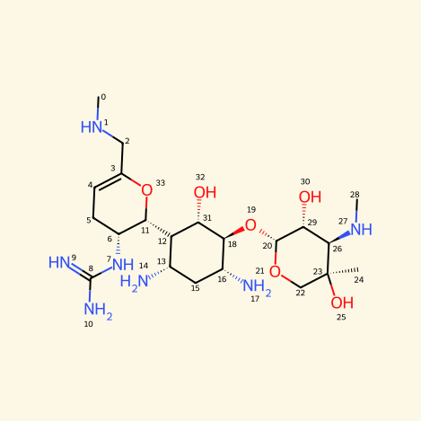 CNCC1=CC[C@@H](NC(=N)N)[C@@H](C2[C@@H](N)C[C@@H](N)[C@H](O[C@H]3OC[C@](C)(O)[C@H](NC)[C@H]3O)[C@H]2O)O1